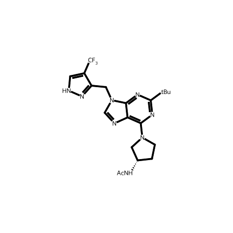 CC(=O)N[C@H]1CCN(c2nc(C(C)(C)C)nc3c2ncn3Cc2n[nH]cc2C(F)(F)F)C1